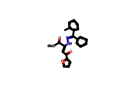 COC(=O)/C(=C/C(=O)c1ccco1)N/N=C(\c1ccccc1)c1ccccc1C